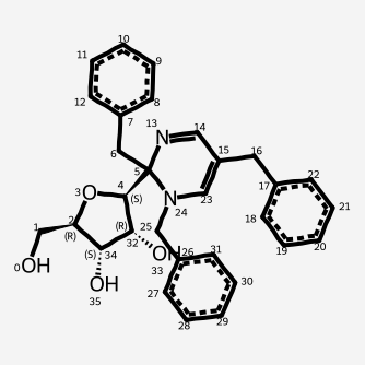 OC[C@H]1O[C@@H](C2(Cc3ccccc3)N=CC(Cc3ccccc3)=CN2Cc2ccccc2)[C@H](O)[C@@H]1O